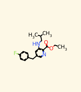 CCOC(=O)c1ncc(Cc2ccc(F)cc2)cc1NCC(C)C